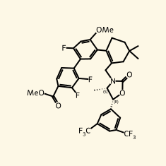 COC(=O)c1ccc(-c2cc(C3=C(CN4C(=O)O[C@H](c5cc(C(F)(F)F)cc(C(F)(F)F)c5)[C@@H]4C)CC(C)(C)CC3)c(OC)cc2F)c(F)c1F